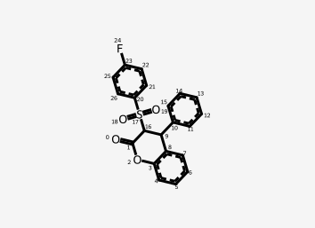 O=C1Oc2ccccc2C(c2ccccc2)C1S(=O)(=O)c1ccc(F)cc1